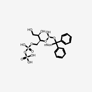 CCCCCCCCCC(OP(O)O[C@@H](COP(=O)(O)OP(=O)(O)O)[C@H](O)CO)(c1ccccc1)c1ccccc1